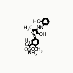 Cc1nn(C2=CC(C(C)S(N)(=O)=O)[C@H](C)C=C2)c(O)c1N=Nc1ccccc1O